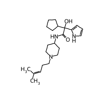 CC(C)=CCCN1CCC(NC(=O)C(O)(c2ccc[nH]2)C2CCCC2)CC1